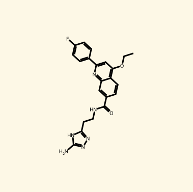 CCOc1cc(-c2ccc(F)cc2)nc2cc(C(=O)NCCc3nnc(N)[nH]3)ccc12